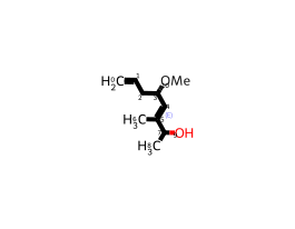 C=CCC(/C=C(\C)C(C)O)OC